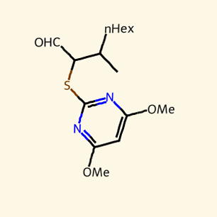 CCCCCCC(C)C(C=O)Sc1nc(OC)cc(OC)n1